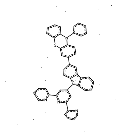 c1ccc(N2c3ccccc3Sc3cc(-c4ccc5c(c4)c4ccccc4n5-c4cc(-c5ccccn5)nc(-c5ccccn5)c4)ccc32)cc1